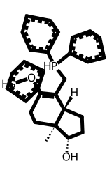 C[C@]12CCC(OS)=C(C[PH](c3ccccc3)(c3ccccc3)c3ccccc3)[C@@H]1CC[C@@H]2O